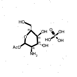 CC(=O)OC1O[C@H](CO)[C@@H](O)[C@H](O)[C@H]1N.O=P(O)(O)O